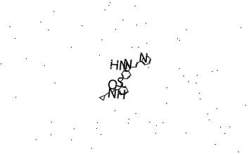 O=C(NCC1CC1)c1ccccc1Sc1ccc2c(/C=C/c3ccccn3)n[nH]c2c1